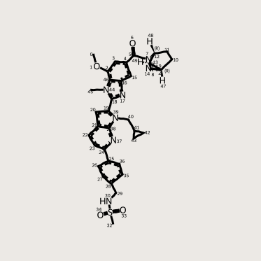 COc1cc(C(=O)N2C[C@H]3CC[C@@H]2[C@@H]3N)cc2nc(-c3cc4ccc(-c5ccc(CNS(C)(=O)=O)cc5)nc4n3CC3CC3)n(C)c12